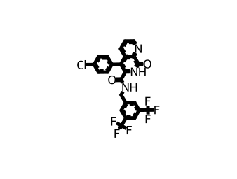 O=C(NCc1cc(C(F)(F)F)cc(C(F)(F)F)c1)c1[nH]c(=O)c2ncccc2c1-c1ccc(Cl)cc1